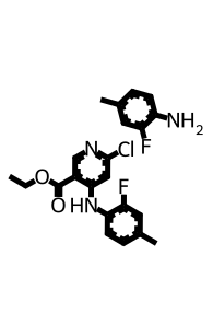 CCOC(=O)c1cnc(Cl)cc1Nc1ccc(C)cc1F.Cc1ccc(N)c(F)c1